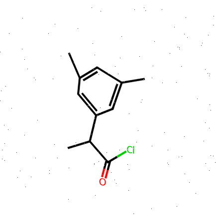 Cc1cc(C)cc(C(C)C(=O)Cl)c1